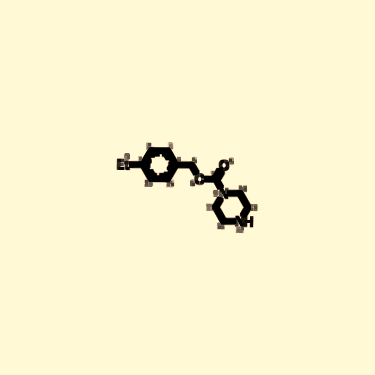 CCc1ccc(COC(=O)N2CCNCC2)cc1